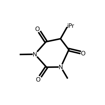 CC(C)C1C(=O)N(C)C(=O)N(C)C1=O